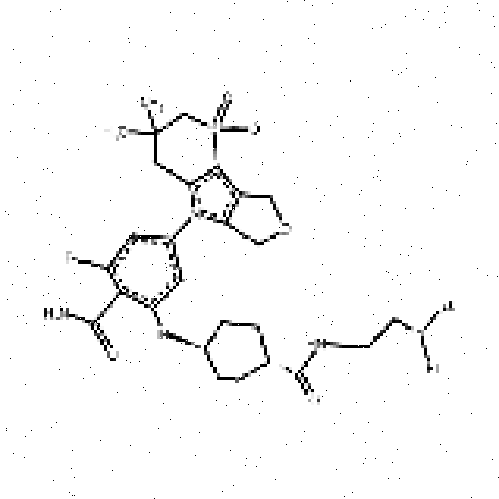 CCN(CC)CCNC(=O)[C@H]1CC[C@H](Nc2cc(-n3c4c(c5c3CC(C)(C)CS5(=O)=O)COC4)cc(F)c2C(N)=O)CC1